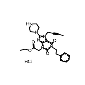 CC#CCn1c(N2CCNCC2)nc2c1c(=O)n(CCc1ccccc1)c(=O)n2CC(=O)OCC.Cl